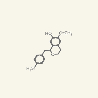 COc1cc2c(cc1O)C(Cc1ccc([SiH3])cc1)OCC2